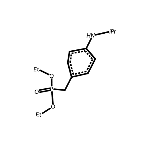 CCOP(=O)(Cc1ccc(NC(C)C)cc1)OCC